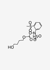 CS(=O)(=O)c1ccccc1N(OC(=O)OCCCCO)[SH](=O)=O